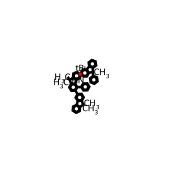 CC(C)(C)c1ccc2c(c1)C(C)(C)c1ccc(-c3ccc4c(c3)-c3ccccc3C4(C)C)c(-c3ccccc3Nc3ccc4c(c3)C(C)(c3ccccc3)c3ccccc3-4)c1-2